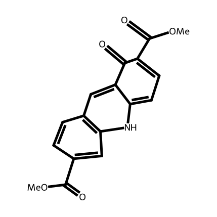 COC(=O)c1ccc2cc3c(=O)c(C(=O)OC)ccc-3[nH]c2c1